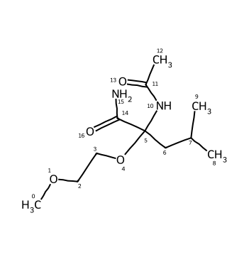 COCCOC(CC(C)C)(NC(C)=O)C(N)=O